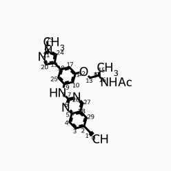 C#Cc1ccc2nc(Nc3cc(OC[C@@H](C)NC(C)=O)cc(-c4cnn(C)c4)c3)ncc2c1